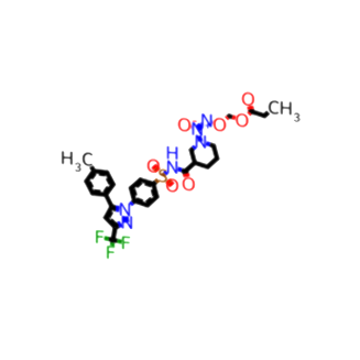 CCC(=O)OCO/N=[N+](/[O-])N1CCCC(C(=O)NS(=O)(=O)c2ccc(-n3nc(C(F)(F)F)cc3-c3ccc(C)cc3)cc2)C1